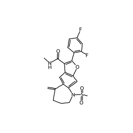 C=C1CCCN(S(C)(=O)=O)c2cc3oc(-c4ccc(F)cc4F)c(C(=O)NC)c3cc21